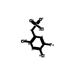 O=S(=O)(Cl)Cc1cc(F)c(Cl)cc1Cl